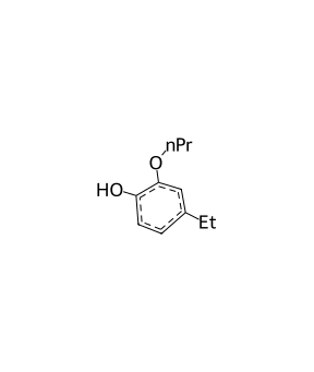 CCCOc1cc(CC)ccc1O